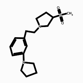 CS(=O)(=O)C1CCN(CCc2cccc(N3CCCC3)c2)C1